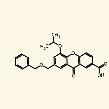 CC(C)Oc1cc(COCc2ccccc2)cc2c(=O)c3cc(C(=O)O)ccc3oc12